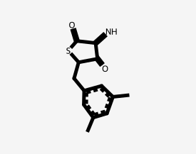 Cc1cc(C)cc(CC2SC(=O)C(=N)C2=O)c1